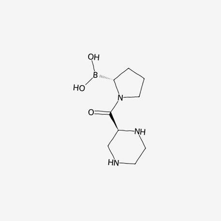 O=C([C@@H]1CNCCN1)N1CCC[C@H]1B(O)O